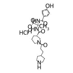 C[C@](NC(=O)c1ccc(O)cc1)(NC(=O)[C@@H]1CCCN(C(=O)CCC2CCNCC2)C1)C(=O)O.Cl